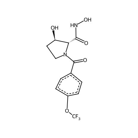 O=C(NO)[C@H]1[C@H](O)CCN1C(=O)c1ccc(OC(F)(F)F)cc1